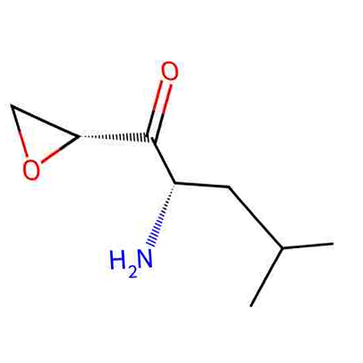 CC(C)C[C@H](N)C(=O)[C@H]1CO1